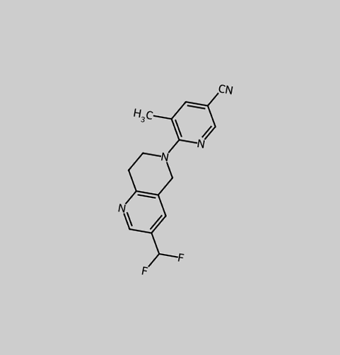 Cc1cc(C#N)cnc1N1CCc2ncc(C(F)F)cc2C1